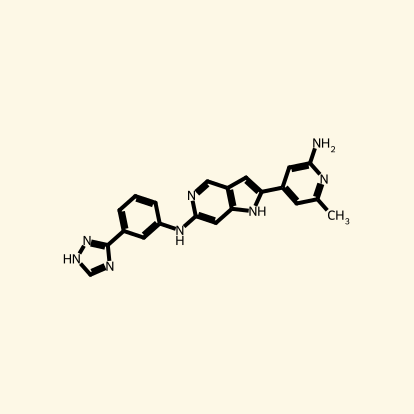 Cc1cc(-c2cc3cnc(Nc4cccc(-c5nc[nH]n5)c4)cc3[nH]2)cc(N)n1